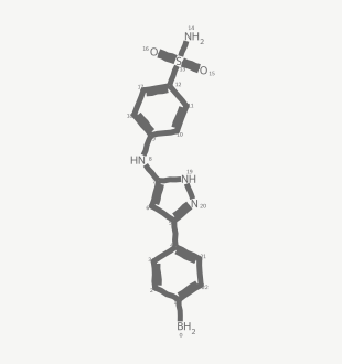 Bc1ccc(-c2cc(Nc3ccc(S(N)(=O)=O)cc3)[nH]n2)cc1